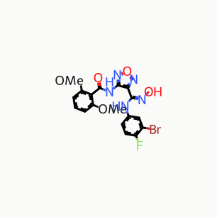 COc1cccc(OC)c1C(=O)Nc1nonc1/C(=N\O)Nc1ccc(F)c(Br)c1